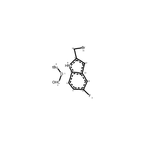 CC(C)(C)OC=O.Fc1ccc2[nH]c(CBr)cc2c1